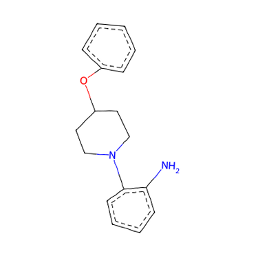 Nc1ccccc1N1CCC(Oc2ccccc2)CC1